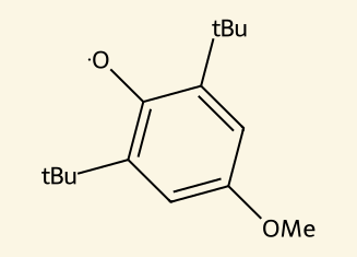 COc1cc(C(C)(C)C)c([O])c(C(C)(C)C)c1